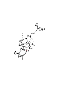 CC[C@H]1O[C@@H](n2ccc(C)nc2=O)[C@@H](O[Si](C(C)C)(C(C)C)C(C)C)C1OC(=O)CCC(=O)O